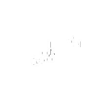 CC(C)C(OC(=O)NCC1CCC(C(=O)O)CC1)OC(=O)C(C)(C)C